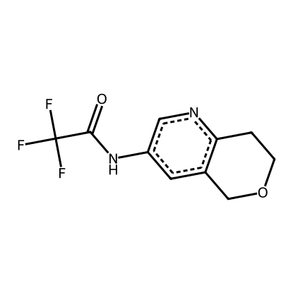 O=C(Nc1cnc2c(c1)COCC2)C(F)(F)F